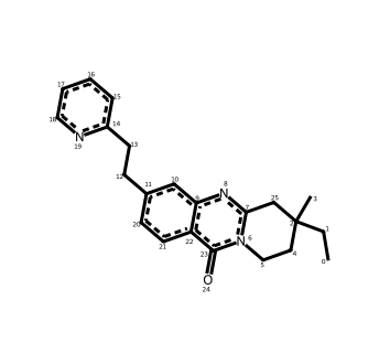 CCC1(C)CCn2c(nc3cc(CCc4ccccn4)ccc3c2=O)C1